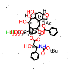 CC(=O)O[C@@]12CO[C@@H]1C[C@H](O)[C@@]1(C)C(=O)[C@H](O)C3=C(C)[C@@H](OC(=O)[C@H](O)[C@@H](NC(=O)OC(C)(C)C)c4ccccc4)C[C@@](O)([C@@H](OC(=O)c4ccccc4)[C@H]21)C3(C)C.Cl.O.O.O